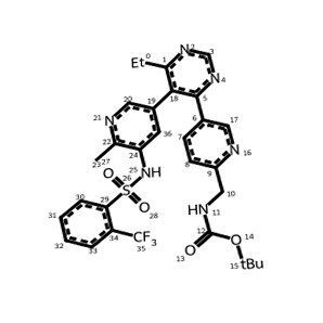 CCc1ncnc(-c2ccc(CNC(=O)OC(C)(C)C)nc2)c1-c1cnc(C)c(NS(=O)(=O)c2ccccc2C(F)(F)F)c1